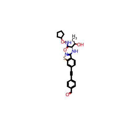 C[C@@H](O)[C@H](Nc1nsc2cc(C#Cc3ccc(C=O)cc3)ccc12)C(=O)NOC1CCCC1